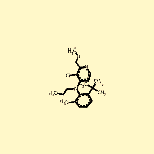 CCCN(c1ccnc(COC)c1Cl)c1c(C)cccc1C(C)(C)C